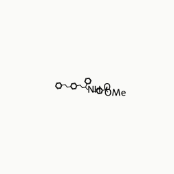 COC(=O)c1ccc(CNCC(CCc2ccc(CCc3ccccc3)cc2)c2ccccc2)cc1